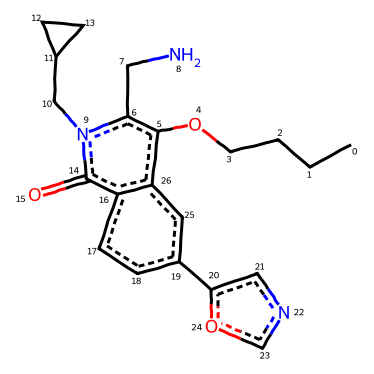 CCCCOc1c(CN)n(CC2CC2)c(=O)c2ccc(-c3cnco3)cc12